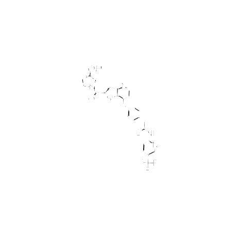 O=C(Cc1ccc(Oc2ccnc3cc(C(=O)N4CC[C@@H](O)C4)sc23)cc1)Nc1ccc(C(F)(F)F)cn1